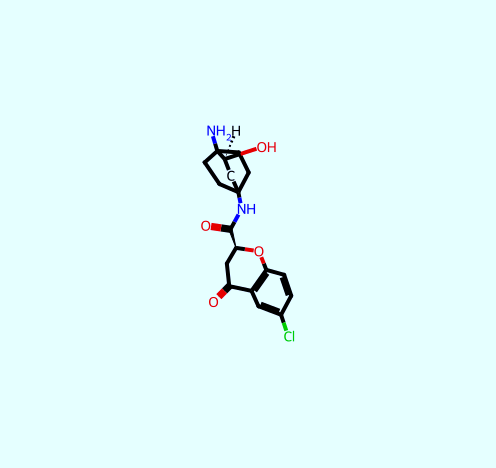 NC12CCC(NC(=O)[C@@H]3CC(=O)c4cc(Cl)ccc4O3)(CC1)C[C@@H]2O